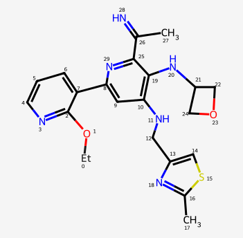 CCOc1ncccc1-c1cc(NCc2csc(C)n2)c(NC2COC2)c(C(C)=N)n1